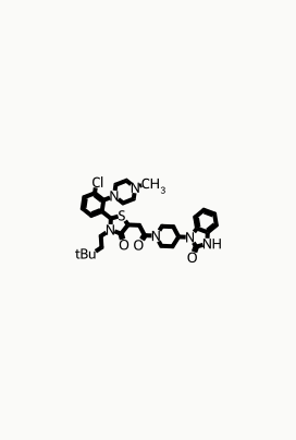 CN1CCN(c2c(Cl)cccc2C2SC(CC(=O)N3CCC(n4c(=O)[nH]c5ccccc54)CC3)C(=O)N2CCC(C)(C)C)CC1